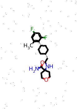 Cc1cc(F)cc(F)c1[C@H]1CC[C@@H](CCNC2(C(N)=O)CCOCC2)CC1